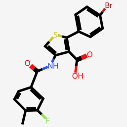 Cc1ccc(C(=O)Nc2csc(-c3ccc(Br)cc3)c2C(=O)O)cc1F